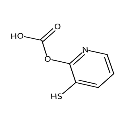 O=C(O)Oc1ncccc1S